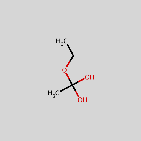 [CH2]C(O)(O)OCC